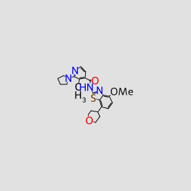 COc1ccc(C2CCOCC2)c2sc(NC(=O)c3ccnc(N4CCCC4)c3C)nc12